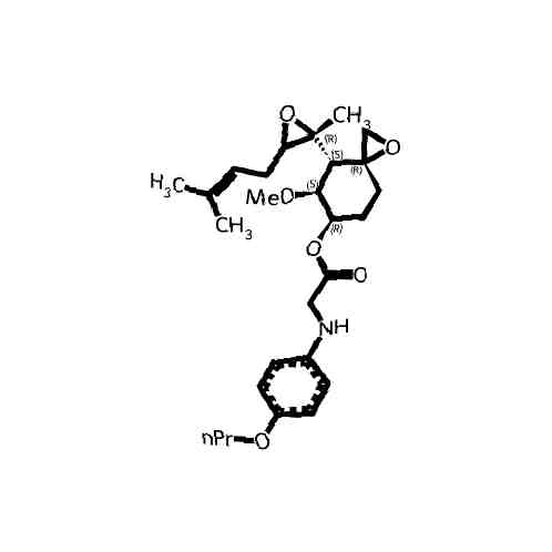 CCCOc1ccc(NCC(=O)O[C@@H]2CC[C@]3(CO3)[C@@H]([C@@]3(C)OC3CC=C(C)C)[C@@H]2OC)cc1